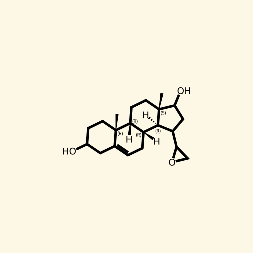 C[C@]12CCC(O)CC1=CC[C@@H]1[C@H]2CC[C@]2(C)C(O)CC(C3CO3)[C@@H]12